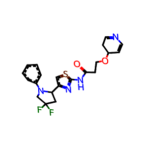 O=C(CCOC1C=CN=CC1)Nc1nc(C2CC(F)(F)CN2c2ccccc2)cs1